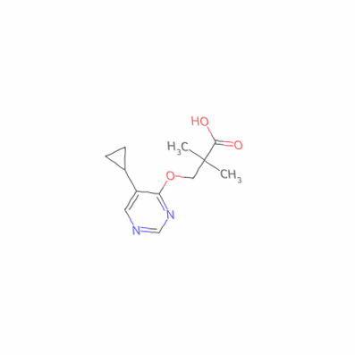 CC(C)(COc1ncncc1C1CC1)C(=O)O